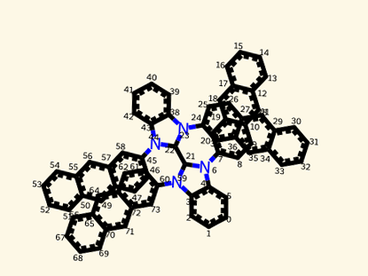 c1ccc2c(c1)N(c1ccc3cc4ccccc4cc3c1)C(C1N(c3ccc4cc5ccccc5cc4c3)c3ccccc3N1c1ccc3cc4ccccc4cc3c1)N2c1ccc2cc3ccccc3cc2c1